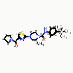 C[C@@H]1CN(c2nc(C(=O)N3CCCC3)cs2)CCN1C(=O)Nc1ccc([Si](C)(C)C)cc1